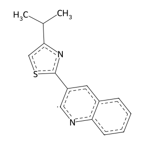 CC(C)c1csc(-c2[c]nc3ccccc3c2)n1